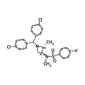 C[C@@H]1[C@@H](N(C)S(=O)(=O)c2ccc(F)cc2)CN1C(c1ccc(Cl)cc1)c1ccc(Cl)cc1